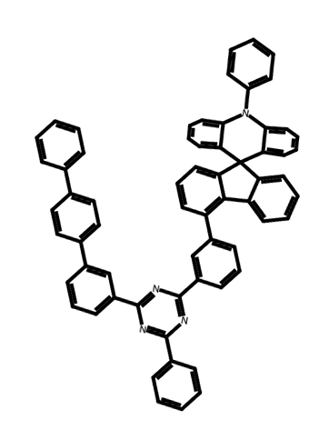 c1ccc(-c2ccc(-c3cccc(-c4nc(-c5ccccc5)nc(-c5cccc(-c6cccc7c6-c6ccccc6C76c7ccccc7N(c7ccccc7)c7ccccc76)c5)n4)c3)cc2)cc1